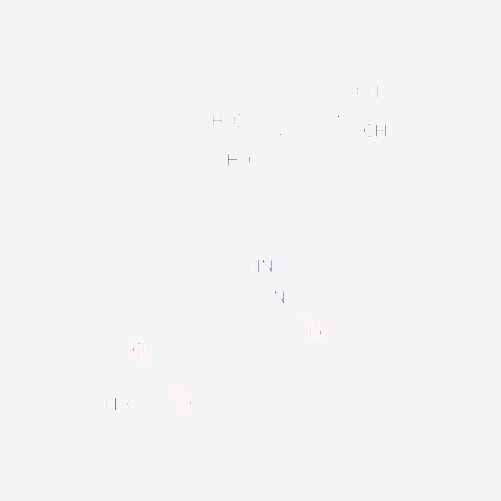 CC1(C)CCC(C)(C)c2cc(C3CC(=O)N(c4ccc(S(C)(=O)=O)cc4)N3)ccc21